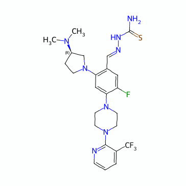 CN(C)[C@@H]1CCN(c2cc(N3CCN(c4ncccc4C(F)(F)F)CC3)c(F)cc2C=NNC(N)=S)C1